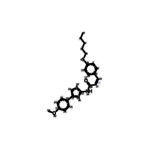 CCCCCSc1ccc(/C=C\C(=O)Nc2nc(-c3ccc(OC)cc3)cs2)cc1